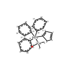 [CH3][Ge]([CH3])([CH3])[Hf]([C]1=CC=CC1)([c]1ccccc1)([c]1ccccc1)[c]1ccccc1